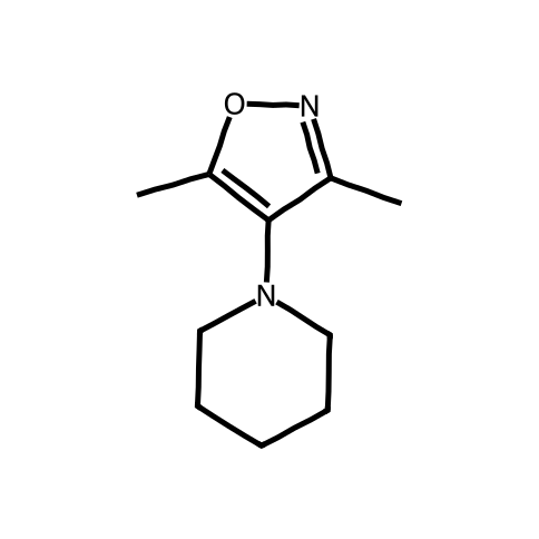 Cc1noc(C)c1N1CCCCC1